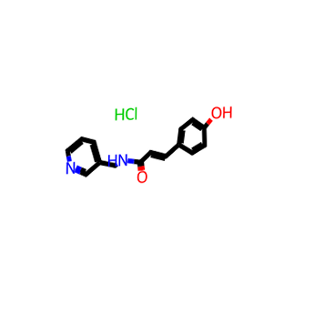 Cl.O=C(C=Cc1ccc(O)cc1)NCc1cccnc1